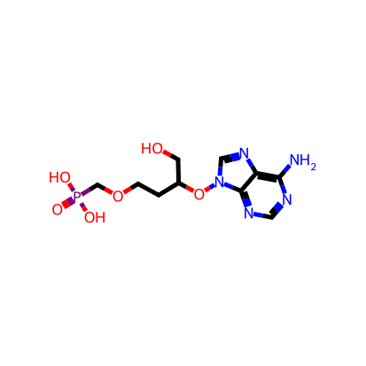 Nc1ncnc2c1ncn2OC(CO)CCOCP(=O)(O)O